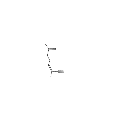 C#CC(C)=CCCC(=C)C